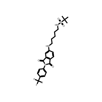 CC(C)(C)S(=O)(=O)NCCCCCNc1ccc2c(c1)C(=O)N(c1ccc(C(F)(F)F)cc1)C2=O